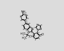 CC(C)(C)n1c(-c2cccc(Cl)c2-n2cncn2)nc2cc(-c3cnc(N)nc3)ccc21